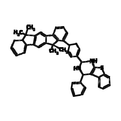 CC1(C)c2cc3c(cc2-c2cccc(C4C=CC(C5Nc6sc7ccccc7c6C(c6ccccc6)N5)=CC4)c21)C(C)(C)C1CC=CC=C31